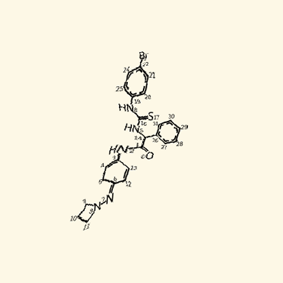 O=C(NC1=CCC(=NN2CCC2)C=C1)C(NC(=S)Nc1ccc(Br)cc1)c1ccccc1